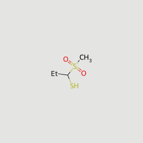 CCC(S)S(C)(=O)=O